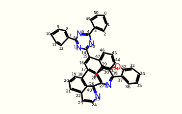 c1ccc(-c2nc(-c3ccccc3)nc(-c3cc(-c4cccc5ccnc(-c6ccc7oc8ccccc8c7n6)c45)cc4ccccc34)n2)cc1